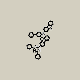 c1ccc(-c2ccc(N(c3ccc4c(c3)sc3ccccc34)c3cccc4c3oc3cc(-c5nc(-c6ccccc6)nc(-c6ccccc6)n5)ccc34)cc2)cc1